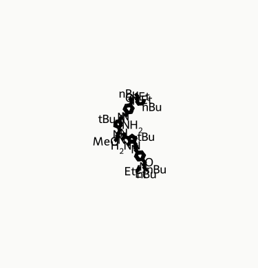 CCCCC(CC)CN(C(=O)c1ccc(/N=N/C2=C(N)C(c3nc(OC)nc(C4C=C(C(C)(C)C)C(/N=N/c5ccc(C(=O)N(CC(CC)CCCC)C(CC)CCCC)cc5)=C4N)n3)C=C2C(C)(C)C)cc1)C(CC)CCCC